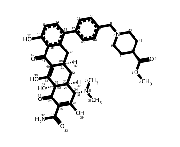 COC(=O)C1CCN(Cc2ccc(-c3ccc(O)c4c3C[C@H]3C[C@H]5[C@H](N(C)C)C(O)=C(C(N)=O)C(=O)[C@@]5(O)C(O)=C3C4=O)cc2)CC1